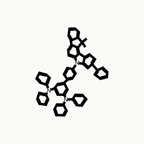 CC1(C)c2ccccc2-c2ccc3c(c21)c1ccc(-c2ccccc2)cc1n3-c1ccc(-c2cc(N(c3ccccc3)c3ccccc3)cc(N(c3ccccc3)c3ccccc3)c2)cc1